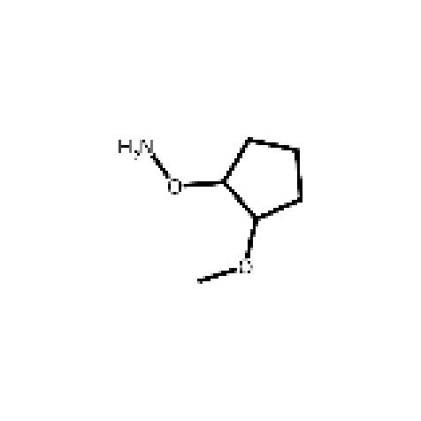 COC1CCCC1ON